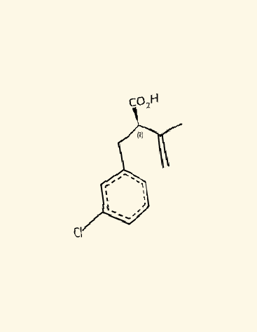 C=C(C)[C@@H](Cc1cccc(Cl)c1)C(=O)O